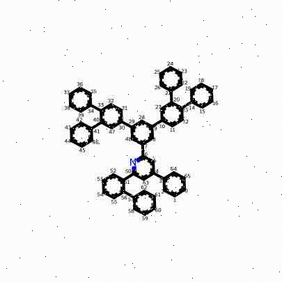 c1ccc(-c2cc(-c3cc(-c4ccc(-c5ccccc5)c(-c5ccccc5)c4)cc(-c4ccc(-c5ccccc5)c(-c5ccccc5)c4)c3)nc(-c3ccccc3-c3ccccc3)c2)cc1